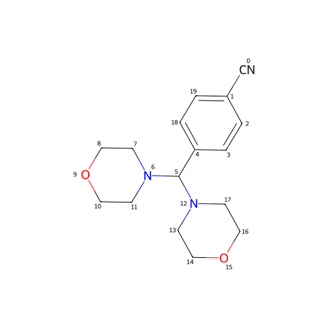 N#Cc1ccc(C(N2CCOCC2)N2CCOCC2)cc1